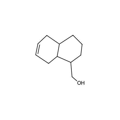 OCC1CCCC2CC=CCC12